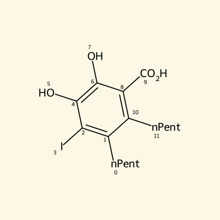 CCCCCc1c(I)c(O)c(O)c(C(=O)O)c1CCCCC